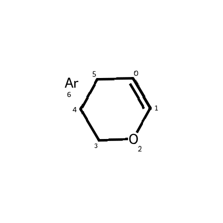 C1=COCCC1.[Ar]